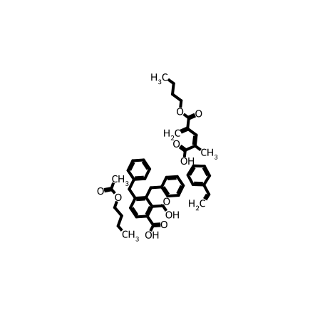 C=C(C=C(C)C(=O)O)C(=O)OCCCC.C=Cc1ccccc1.CCCCOC(C)=O.O=C(O)c1ccc(Cc2ccccc2)c(Cc2ccccc2)c1C(=O)O